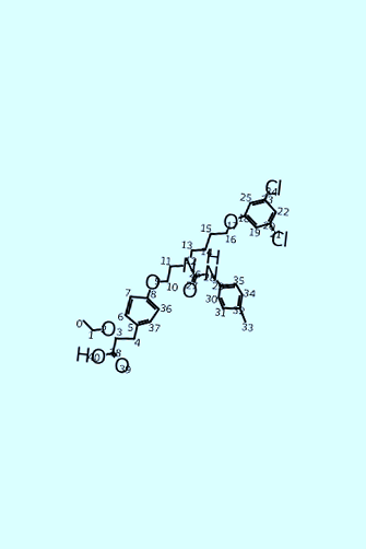 CCOC(Cc1ccc(OCCN(CCCCOc2cc(Cl)cc(Cl)c2)C(=O)Nc2ccc(C)cc2)cc1)C(=O)O